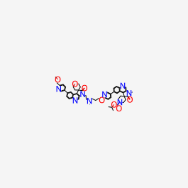 COCc1ccc(-c2ccc3ncc4c(c3c2)C2(CCOCC2)C(=O)N4CCN(C)CCCOc2ccc(-c3ccc4ncc5c(c4c3)C3(CCN(C(=O)OC(C)C)CC3)C(=O)N5C)cn2)cn1